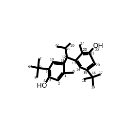 Cc1cc(O)c(C(C)(C)C)cc1C(c1cc(C(C)(C)C)cc(O)c1C)C(C)C